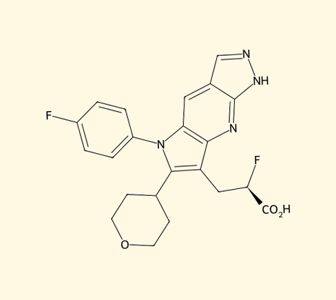 O=C(O)[C@H](F)Cc1c(C2CCOCC2)n(-c2ccc(F)cc2)c2cc3cn[nH]c3nc12